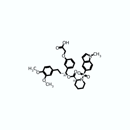 COc1ccc(CC[C@@H](OC(=O)[C@@H]2CCCCN2S(=O)(=O)c2ccc3c(ccn3C)c2)c2cccc(OCC(=O)O)c2)cc1OC